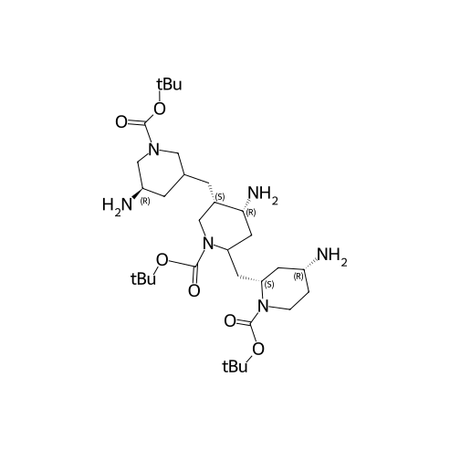 CC(C)(C)OC(=O)N1CC(C[C@H]2CN(C(=O)OC(C)(C)C)C(C[C@@H]3C[C@H](N)CCN3C(=O)OC(C)(C)C)C[C@H]2N)C[C@@H](N)C1